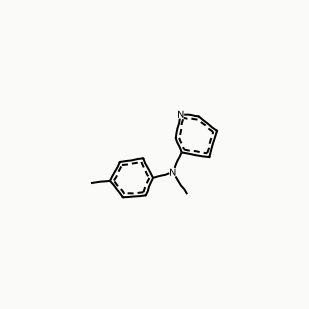 Cc1ccc(N(C)c2cccnc2)cc1